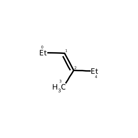 CC/C=C(\C)CC